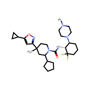 CC(C)N1CCN([C@H]2CCCC(F)(F)[C@@H]2NC(=O)N2CCC(C)(c3cc(C4CC4)on3)CC2C2CCCC2)CC1